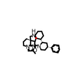 Cc1cn2c(n1)[C@]1(CCC2)CNC[C@H]1C(=O)N1CC[C@@H](c2ccccc2)C[C@H]1C1CCCCC1